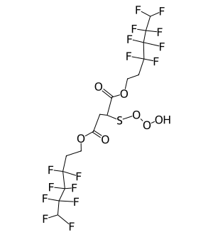 O=C(CC(SOOO)C(=O)OCCC(F)(F)C(F)(F)C(F)(F)C(F)F)OCCC(F)(F)C(F)(F)C(F)(F)C(F)F